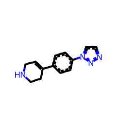 C1=C(c2ccc(-n3ccnn3)cc2)CCNC1